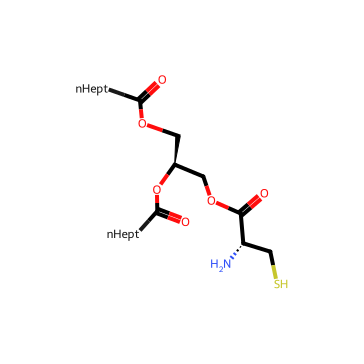 CCCCCCCC(=O)OC[C@@H](COC(=O)[C@@H](N)CS)OC(=O)CCCCCCC